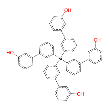 Oc1cccc(-c2cccc([Si](c3cccc(-c4cccc(O)c4)c3)(c3cccc(-c4cccc(O)c4)c3)c3cccc(-c4cccc(O)c4)c3)c2)c1